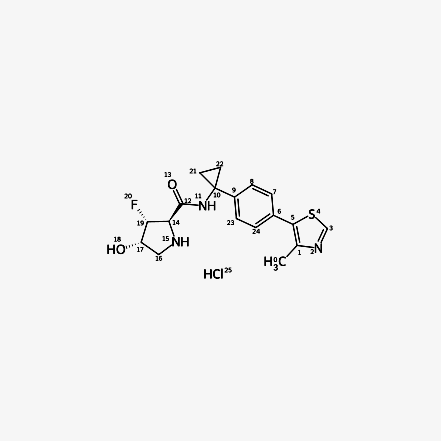 Cc1ncsc1-c1ccc(C2(NC(=O)[C@H]3NC[C@H](O)[C@@H]3F)CC2)cc1.Cl